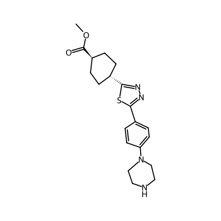 COC(=O)[C@H]1CC[C@H](c2nnc(-c3ccc(N4CCNCC4)cc3)s2)CC1